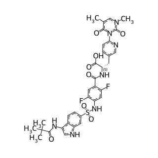 Cc1cn(C)c(=O)n(-c2ccc(C[C@H](NC(=O)c3cc(F)c(NS(=O)(=O)c4ccc5c(NC(=O)C(C)(C)C)c[nH]c5c4)cc3F)C(=O)O)cn2)c1=O